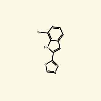 Brc1cccc2cc(-c3nnco3)[nH]c12